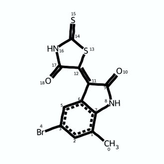 Cc1cc(Br)cc2c1NC(=O)/C2=C1\SC(=S)NC1=O